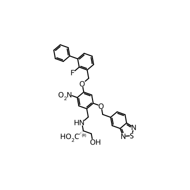 O=C(O)[C@@H](CO)NCc1cc([N+](=O)[O-])c(OCc2cccc(-c3ccccc3)c2F)cc1OCc1ccc2nsnc2c1